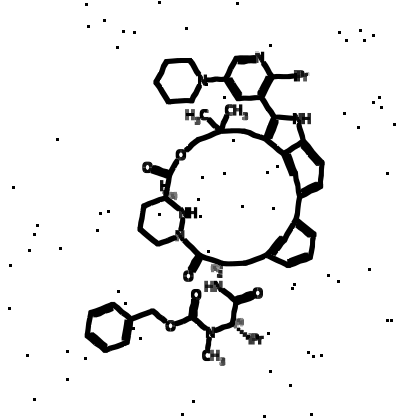 CC(C)c1ncc(N2CCCCC2)cc1-c1[nH]c2ccc3cc2c1CC(C)(C)COC(=O)[C@@H]1CCCN(N1)C(=O)[C@@H](NC(=O)[C@H](C(C)C)N(C)C(=O)OCc1ccccc1)Cc1cccc-3c1